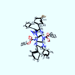 CC(C)(C)OC(=O)N1c2nc(-c3ccccc3)c(-c3ccccc3)nc2N(C(=O)OC(C)(C)C)c2nc(-c3ccc(Br)cc3)c(-c3ccccc3)nc21